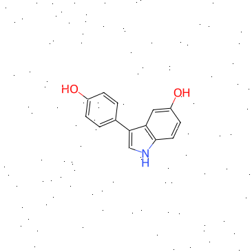 Oc1ccc(-c2c[nH]c3ccc(O)cc23)cc1